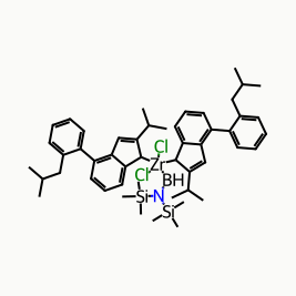 CC(C)Cc1ccccc1-c1cccc2c1C=C(C(C)C)[CH]2[Zr]([Cl])([Cl])([BH]N([Si](C)(C)C)[Si](C)(C)C)[CH]1C(C(C)C)=Cc2c(-c3ccccc3CC(C)C)cccc21